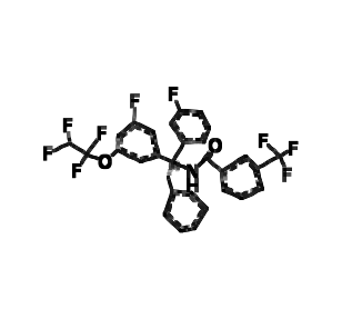 O=C(N[C@](Cc1ccccc1)(c1cccc(F)c1)c1cc(F)cc(OC(F)(F)C(F)F)c1)c1cccc(C(F)(F)F)c1